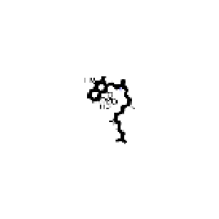 C/C(=C\Cc1c(C)c(O)c2ccccc2c1OP(=O)(O)O)CCC[C@H](C)CCC[C@H](C)CCCC(C)C